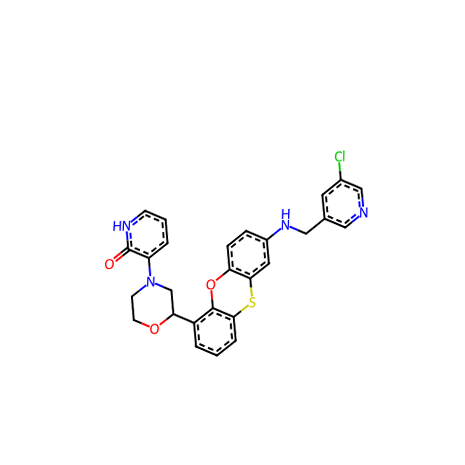 O=c1[nH]cccc1N1CCOC(c2cccc3c2Oc2ccc(NCc4cncc(Cl)c4)cc2S3)C1